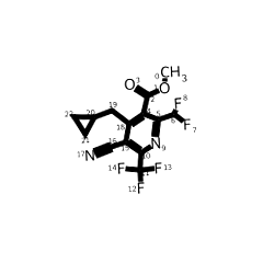 COC(=O)c1c(C(F)F)nc(C(F)(F)F)c(C#N)c1CC1CC1